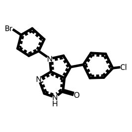 O=c1[nH]cnc2c1c(-c1ccc(Cl)cc1)cn2-c1ccc(Br)cc1